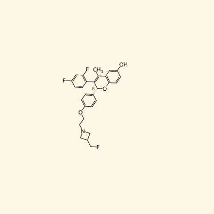 CC1=C(c2ccc(F)cc2F)[C@@H](c2ccc(OCCN3CC(CF)C3)cc2)Oc2ccc(O)cc21